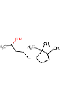 CC(O)CCCC1CCC(C)C1(C)C